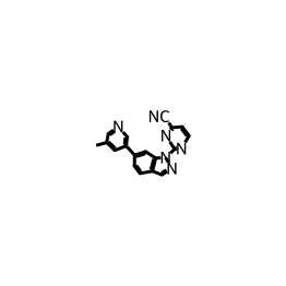 Cc1cncc(-c2ccc3cnn(-c4nccc(C#N)n4)c3c2)c1